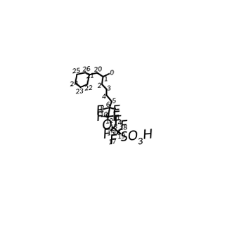 CC(CCCCC(F)(F)C(F)(F)OC(F)(F)C(F)(F)S(=O)(=O)O)CC1CCCCC1